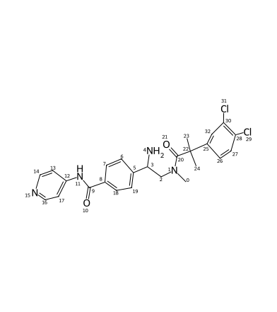 CN(CC(N)c1ccc(C(=O)Nc2ccncc2)cc1)C(=O)C(C)(C)c1ccc(Cl)c(Cl)c1